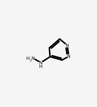 NNc1ccnnc1